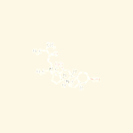 CC(C)C(=O)CC[C@@H](C)[C@H]1CC[C@H]2[C@@H]3CC[C@@H]4C[C@H](O)CC[C@]4(C)[C@H]3C[C@H](O)[C@]12C